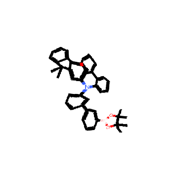 CC1(C)c2ccccc2-c2ccc(N(c3cccc(-c4cccc(B5OC(C)(C)C(C)(C)O5)c4)c3)c3ccccc3-c3ccccc3)cc21